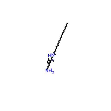 C=C(CCCCCCCCCCCCCCCCCCCCCC)NCC/C(=C/C)c1cc(CCCCN)ccc1C